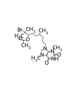 CC(=O)OC(CCC(C)CCCN1CN(C)c2c1n(C)c(=O)[nH]c2=O)C(C)(C)Br